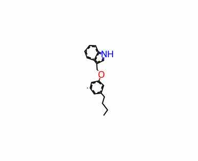 CCCCc1c[c]cc(OCc2c[nH]c3ccccc23)c1